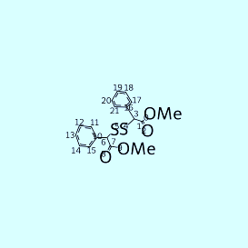 COC(=O)C(SSC(C(=O)OC)c1ccccc1)c1ccccc1